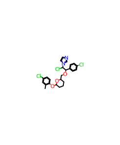 Cc1cc(Cl)ccc1OC1CCCC(COC(c2ccc(Cl)cc2)C(Cl)n2ccnc2)O1